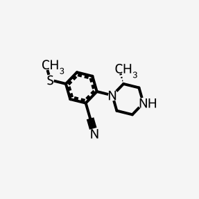 CSc1ccc(N2CCNC[C@H]2C)c(C#N)c1